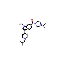 CCn1cc(C2=CCN(CC(C)C)CC2)c2ccc(C(=O)N3CCN(C(C)C)CC3)cc21